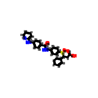 O=C(O)CC(c1ccccc1)[S+]([O-])c1ccc(NC(=O)c2ccc(Nc3ccccn3)cc2)cc1